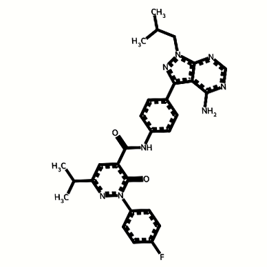 CC(C)Cn1nc(-c2ccc(NC(=O)c3cc(C(C)C)nn(-c4ccc(F)cc4)c3=O)cc2)c2c(N)ncnc21